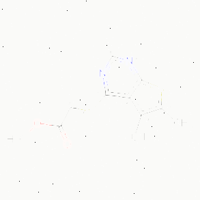 COC(=O)CSc1ncnc2sc(C)c(C)c12